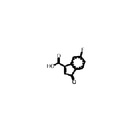 O=C(O)C1=CC(=O)c2ccc(F)cc21